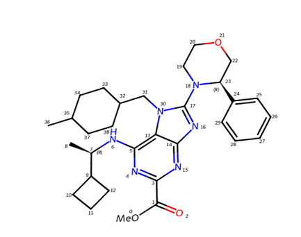 COC(=O)c1nc(N[C@H](C)C2CCC2)c2c(n1)nc(N1CCOC[C@H]1c1ccccc1)n2CC1CCC(C)CC1